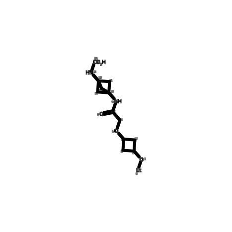 CCOC1CC(OCC(=O)NC23CC(NC(=O)O)(C2)C3)C1